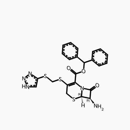 N[C@@H]1C(=O)N2C(C(=O)OC(c3ccccc3)c3ccccc3)=C(SCSc3c[nH]nn3)CS[C@H]12